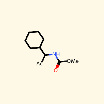 COC(=O)NC(C(C)=O)C1CCCCC1